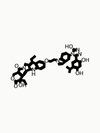 CCC1=C2Cn3c(cc4c(c3=O)COC(=O)C4(O)CC)C2Nc2ccc(OCCn3ccc4cc(-n5c(O)nnc5-c5cc(C(C)C)c(O)cc5O)ccc43)cc21